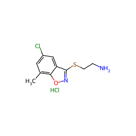 Cc1cc(Cl)cc2c(SCCN)noc12.Cl